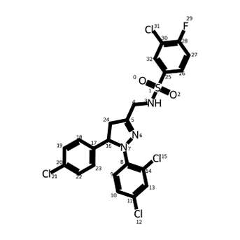 O=S(=O)(NCC1=NN(c2ccc(Cl)cc2Cl)C(c2ccc(Cl)cc2)C1)c1ccc(F)c(Cl)c1